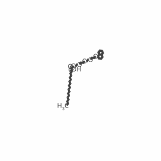 CCCCCCCCCCCCCCCCCCOP(=O)(O)OCCOCCOCCOCCOc1cccc2ccccc12